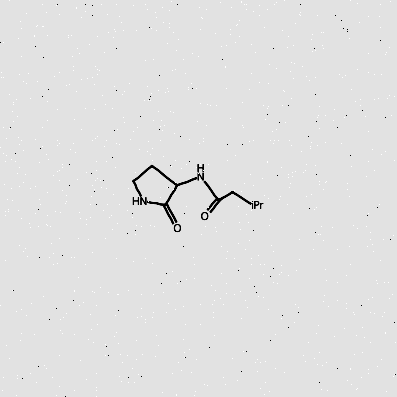 CC(C)CC(=O)NC1CCNC1=O